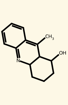 CC1=c2ccccc2=NC2CCCC(O)C12